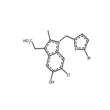 Cc1c(CC(=O)O)c2cc(O)c(Cl)cc2n1Cc1ccc(Br)s1